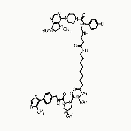 Cc1ncsc1-c1ccc(CNC(=O)[C@@H]2C[C@@H](O)CN2C(=O)[C@@H](NC(=O)CCCCCCCCNC(=O)CCNC[C@@H](C(=O)N2CCN(c3ncnc4c3[C@H](C)C[C@H]4O)CC2)c2ccc(Cl)cc2)C(C)(C)C)cc1